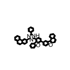 c1ccc(C2N=C(c3ccc4ccc5ccccc5c4c3)N=C(c3ccc(-c4ccc5oc6ccc7ccccc7c6c5c4)c4oc5ccccc5c34)N2)cc1